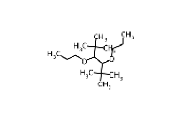 CCCOC(C(OCCC)C(C)(C)C)C(C)(C)C